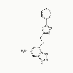 Nc1cc(OCc2cc(-c3ccccc3)no2)c2nn[nH]c2n1